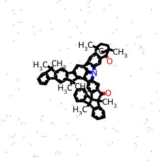 CC12CCC(C)(CC1)c1cc3c4cc5c(c6c7cc8c(cc7n(c3cc1C2=O)c46)C(=O)C1(C)c2ccccc2C2(C)c3ccccc3C812)C(C)(C)c1cc2c(cc1-5)C(C)(C)c1ccccc1-2